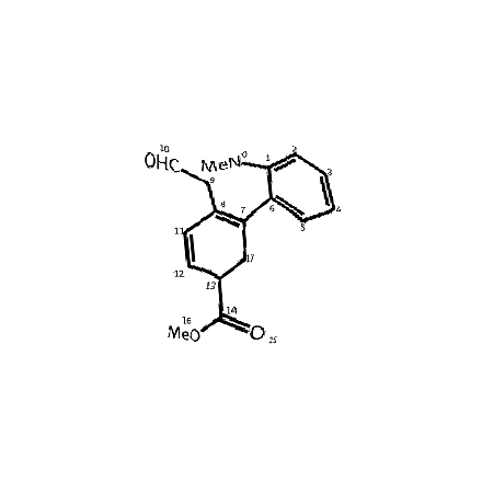 CNc1ccccc1C1=C(CC=O)C=CC(C(=O)OC)C1